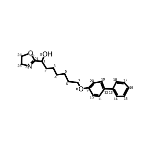 OC(CCCCCCOc1ccc(-c2ccccc2)cc1)C1=NCCO1